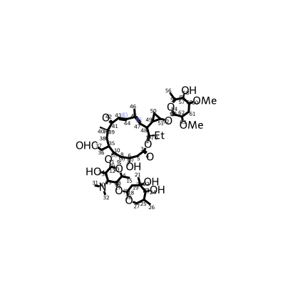 CC[C@H]1OC(=O)C[C@@H](O)[C@H](C)[C@@H](O[C@@H]2OC(C)[C@@H](O[C@H]3CC(C)(O)[C@@H](O)C(C)CO3)C(N(C)C)C2O)C(CC=O)C[C@@H](C)C(=O)/C=C/C(C)=C/C1C1CC1O[C@@H]1OC(C)[C@@H](O)C(OC)CC1OC